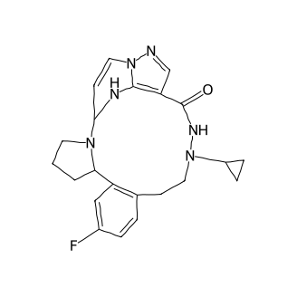 O=C1NN(C2CC2)CCc2ccc(F)cc2C2CCCN2C2C=Cn3ncc1c3N2